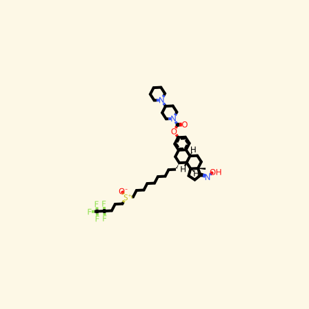 C[C@]12CC[C@@H]3c4ccc(OC(=O)N5CCC(N6CCCCC6)CC5)cc4C[C@@H](CCCCCCCCC[S+]([O-])CCCC(F)(F)C(F)(F)F)[C@H]3[C@@H]1CC/C2=N/O